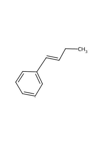 CCC=Cc1c[c]ccc1